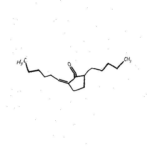 CCCCC/C=C1/CCC(CCCCC)C1=O